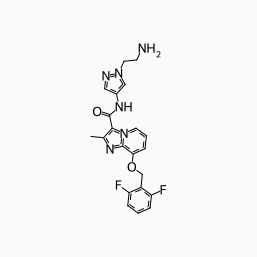 Cc1nc2c(OCc3c(F)cccc3F)cccn2c1C(=O)Nc1cnn(CCN)c1